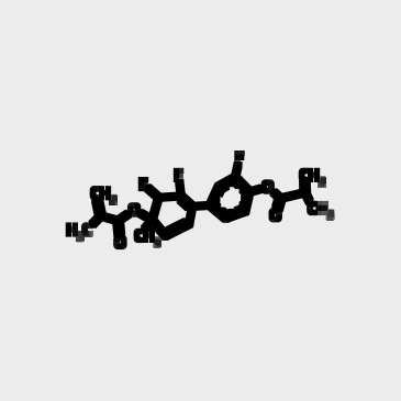 C=C(C)C(=O)Oc1ccc(C2=C(F)C(F)C(C)(OC(=O)C(=C)C)C=C2)cc1F